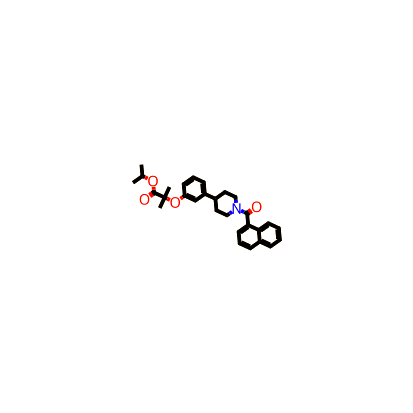 CC(C)OC(=O)C(C)(C)Oc1cccc(C2CCN(C(=O)c3cccc4ccccc34)CC2)c1